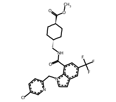 COC(=O)[C@H]1CC[C@H](CNC(=O)c2cc(C(F)(F)F)cc3ccn(Cc4ccc(Cl)cn4)c23)CC1